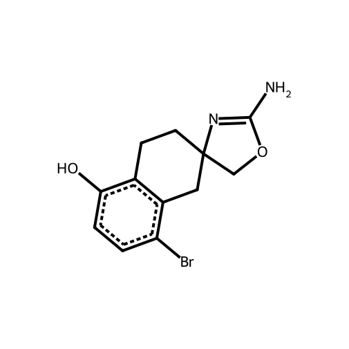 NC1=NC2(CCc3c(O)ccc(Br)c3C2)CO1